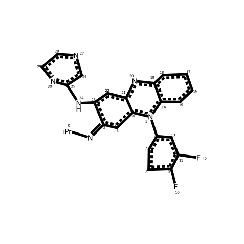 CC(C)N=c1cc2n(-c3ccc(F)c(F)c3)c3ccccc3nc-2cc1Nc1cnccn1